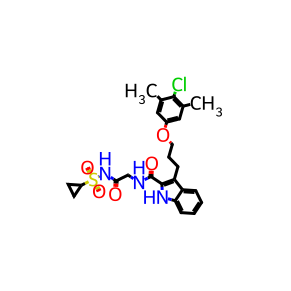 Cc1cc(OCCCc2c(C(=O)NCC(=O)NS(=O)(=O)C3CC3)[nH]c3ccccc23)cc(C)c1Cl